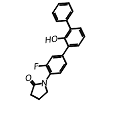 O=C1CCCN1c1ccc(-c2cccc(-c3ccccc3)c2O)cc1F